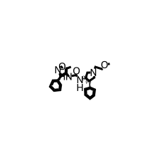 COCCN1C[C@@H](NC(=O)Nc2c(-c3ccccc3)noc2C)[C@H](c2ccccc2)C1